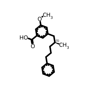 COc1cc(C[C@@H](C)CCCc2ccccc2)cc(C(=O)O)c1